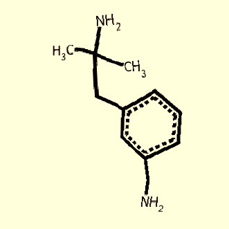 CC(C)(N)Cc1cccc(N)c1